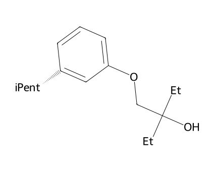 CCC[C@@H](C)c1cccc(OCC(O)(CC)CC)c1